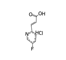 Cl.O=C(O)C=Cc1ccc(F)cn1